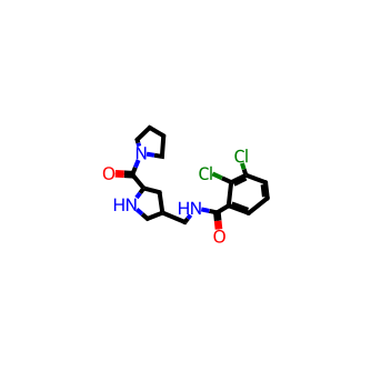 O=C(NCC1CNC(C(=O)N2CCCC2)C1)c1cccc(Cl)c1Cl